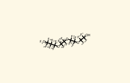 OC(F)(F)C(F)(F)OC(F)(F)C(F)(F)OC(F)(F)C(F)(F)OC(F)(F)C(F)(F)C(F)(F)C(F)(F)F